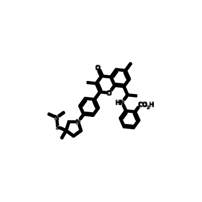 Cc1cc(C(C)Nc2ccccc2C(=O)O)c2oc(-c3ccc(N4CCC(C)(SN(C)C)C4)cc3)c(C)c(=O)c2c1